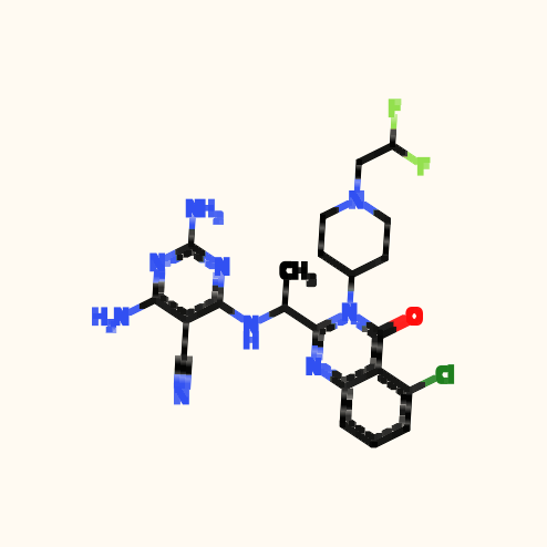 CC(Nc1nc(N)nc(N)c1C#N)c1nc2cccc(Cl)c2c(=O)n1C1CCN(CC(F)F)CC1